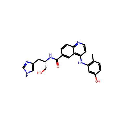 Cc1ccc(O)cc1Nc1ccnc2ccc(C(=O)N[C@H](CO)Cc3c[nH]cn3)cc12